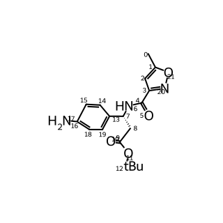 Cc1cc(C(=O)N[C@H](CC(=O)OC(C)(C)C)c2ccc(N)cc2)no1